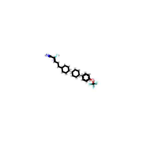 N#C/C(F)=C/CCC1CCC([C@H]2CC[C@H](c3ccc(OC(F)(F)F)cc3)CC2)CC1